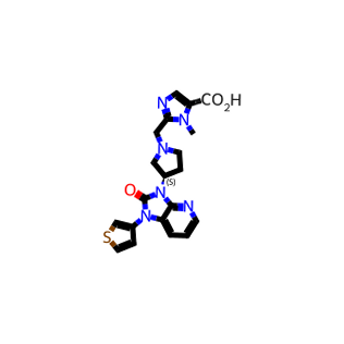 Cn1c(C(=O)O)cnc1CN1CC[C@H](n2c(=O)n(-c3ccsc3)c3cccnc32)C1